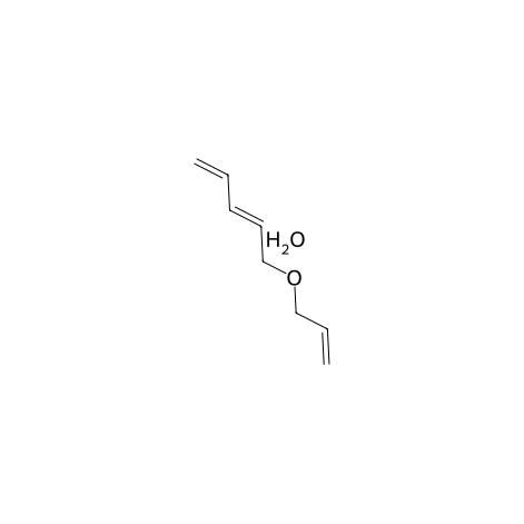 C=CC=CCOCC=C.O